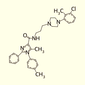 Cc1ccc(-n2c(-c3ccccc3)nc(C(=O)NCCCN3CCN(c4cccc(Cl)c4C)CC3)c2C)cc1